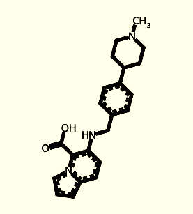 CN1CCC(c2ccc(CNc3ccc4cccn4c3C(=O)O)cc2)CC1